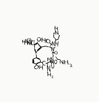 CN1C(=O)[C@H](C[C@@H](O)CN)NC(=O)[C@@H](N)Cc2cc(ccc2O)-c2ccc(O)c(c2)C[C@H]1C(=O)NC1CCNCC1.Cl.Cl.Cl